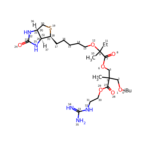 CCC(C)OCC(C)(COC(=O)C(C)(CC)OCCCCC[C@@H]1SC[C@@H]2NC(=O)N[C@@H]21)C(=O)OCCNC(=N)N